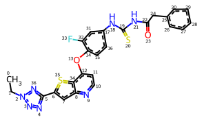 CCn1nnc(-c2cc3nccc(Oc4ccc(NC(=S)NC(=O)Cc5ccccc5)cc4F)c3s2)n1